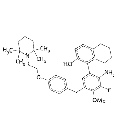 COc1c(Cc2ccc(OCCN3C(C)(C)CCCC3(C)C)cc2)cc(-c2c(O)ccc3c2CCCC3)c(N)c1F